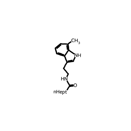 CCCCCCCC(=O)NCCc1c[nH]c2c(C)cccc12